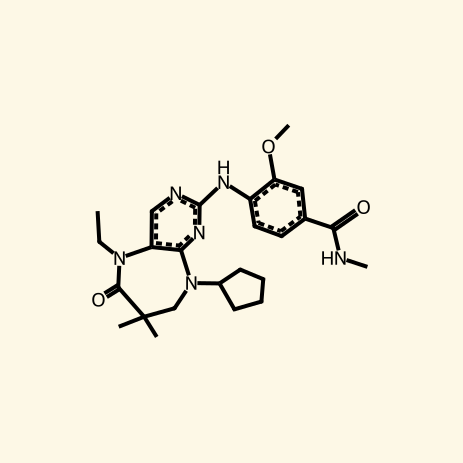 CCN1C(=O)C(C)(C)CN(C2CCCC2)c2nc(Nc3ccc(C(=O)NC)cc3OC)ncc21